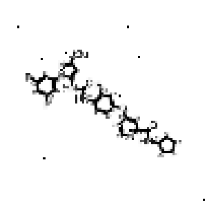 CC(C)(C)c1cc(NC(=O)Nc2ccc(Oc3ccnc(C(=O)NC4CCCC4)c3)cc2F)n(-c2cc(F)cc(F)c2)n1